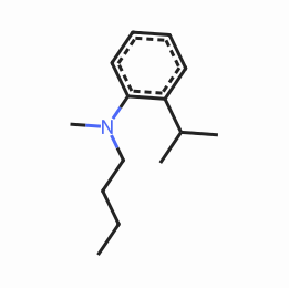 CCCCN(C)c1ccccc1C(C)C